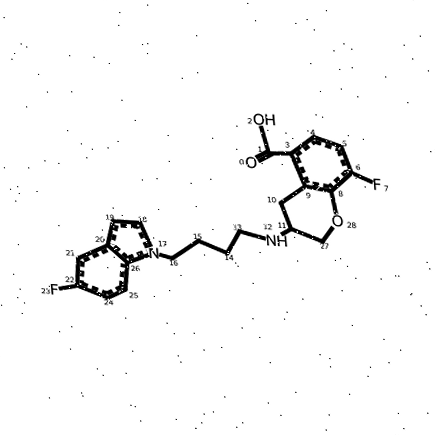 O=C(O)c1ccc(F)c2c1CC(NCCCCn1ccc3cc(F)ccc31)CO2